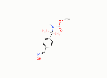 BC(B)(c1ccc(/C=N/O)cc1)N(C)C(=O)OC(C)(C)C